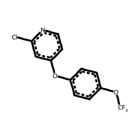 FC(F)(F)Oc1ccc(Oc2ccnc(Cl)c2)cc1